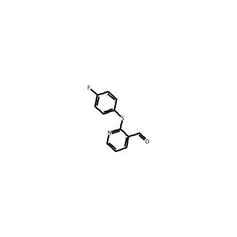 O=Cc1cccnc1Sc1ccc(F)cc1